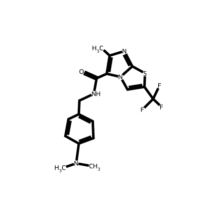 Cc1nc2sc(C(F)(F)F)cn2c1C(=O)NCc1ccc(N(C)C)cc1